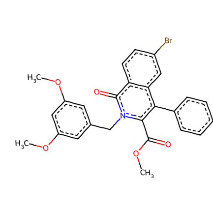 COC(=O)c1c(-c2ccccc2)c2cc(Br)ccc2c(=O)n1Cc1cc(OC)cc(OC)c1